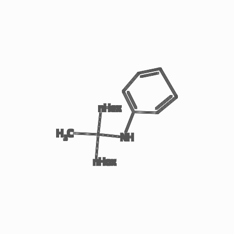 CCCCCCC(C)(CCCCCC)Nc1ccccc1